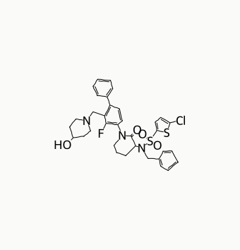 O=C1C(N(Cc2ccccc2)S(=O)(=O)c2ccc(Cl)s2)CCCN1c1ccc(-c2ccccc2)c(CN2CCC(O)CC2)c1F